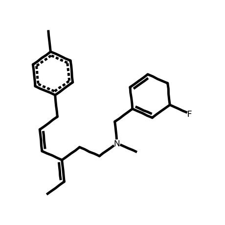 C/C=C(\C=C/Cc1ccc(C)cc1)CCN(C)CC1=CC(F)CC=C1